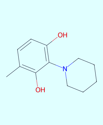 Cc1ccc(O)c(N2CCCCC2)c1O